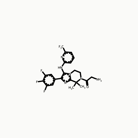 CC1(C)c2nc(-c3cc(F)c(F)c(F)c3)c(Nc3cccc(C(F)(F)F)n3)n2CCN1C(=O)CN